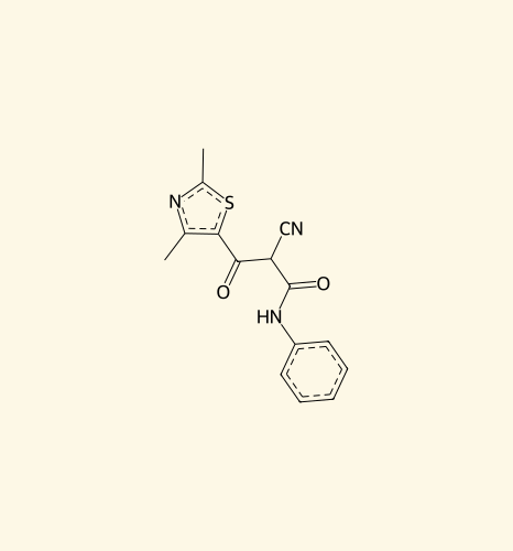 Cc1nc(C)c(C(=O)C(C#N)C(=O)Nc2ccccc2)s1